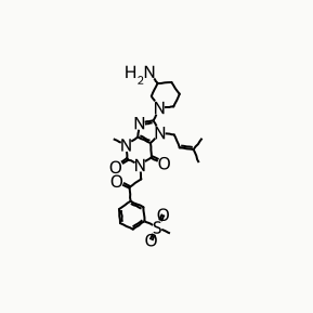 CC(C)=CCn1c(N2CCCC(N)C2)nc2c1c(=O)n(CC(=O)c1cccc(S(C)(=O)=O)c1)c(=O)n2C